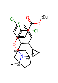 CC(C)(C)OC(=O)c1cc(C2CC2)c(CN2[C@@H]3CC[C@H]2C[C@H](Oc2cc(Cl)cc(Cl)c2)C3)cc1F